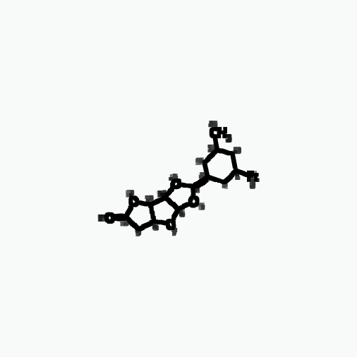 CCC1C/C(=C2\OC3OC4CC(=O)OC4C3O2)CC(C)C1